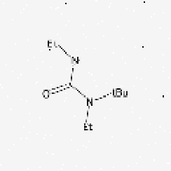 CC[N]C(=O)N(CC)C(C)(C)C